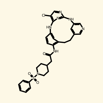 O=C(CC1CCN(S(=O)(=O)c2ccccc2)CC1)Nc1ccc2cc1CCc1cncc(c1)Nc1ncc(Cl)c(n1)N2